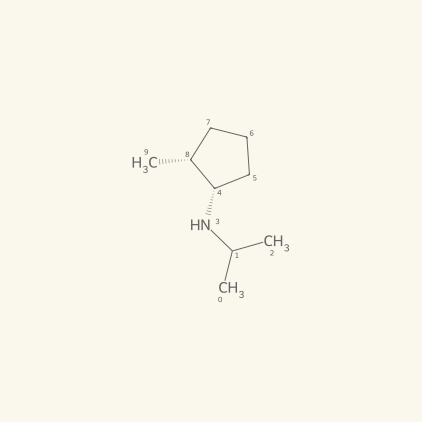 CC(C)N[C@H]1CCC[C@H]1C